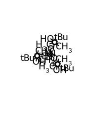 Cc1cc(C(C)(C)C)c(O)c(C)c1COc1nc(OCc2c(C)cc(C(C)(C)C)c(O)c2C)nc(OCc2c(C)cc(C(C)(C)C)c(O)c2C)n1